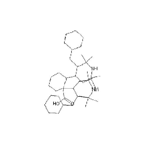 CC1(C)CC(C2CCCCC2(C(=O)O)C2CC(C)(C)NC(C)(C)C2CC2CCCCC2)C(CC2CCCCC2)C(C)(C)N1